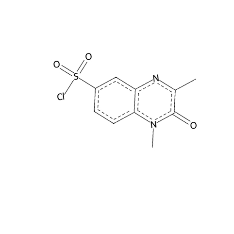 Cc1nc2cc(S(=O)(=O)Cl)ccc2n(C)c1=O